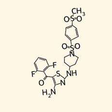 CS(=O)(=O)c1ccc(S(=O)(=O)N2CCC(Nc3nc(N)c(C(=O)c4c(F)cccc4F)s3)CC2)cc1